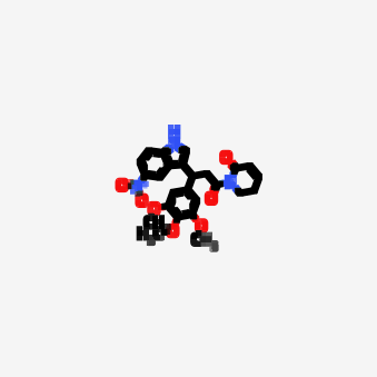 COc1cc(C(CC(=O)N2CCC=CC2=O)c2c[nH]c3ccc([N+](=O)[O-])cc23)cc(OC)c1OC